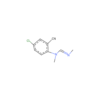 CN=CN(C)c1ccc(Cl)cc1C#N